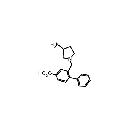 NC1CCN(Cc2cc(C(=O)O)ccc2-c2ccccc2)C1